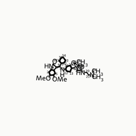 COc1cc2c(cc1OC)C(=C(Nc1ccc(N(CC(=O)NCCN(C)C)S(C)(=O)=O)cc1)c1ccccc1)C(=O)N2